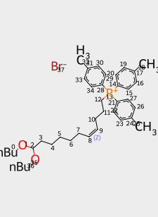 CCCCOC(CCCCC/C=C\CCC[P+](c1ccc(C)cc1)(c1ccc(C)cc1)c1ccc(C)cc1)OCCCC.[Br-]